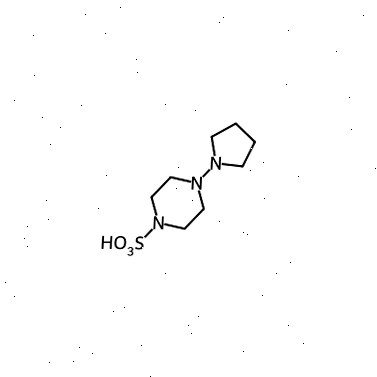 O=S(=O)(O)N1CCN(N2CCCC2)CC1